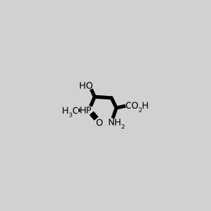 C[PH](=O)C(O)CC(N)C(=O)O